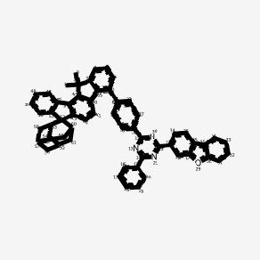 CC1(C)c2cccc(-c3ccc(-c4nc(-c5ccccc5)nc(-c5ccc6c(c5)oc5ccccc56)n4)cc3)c2-c2ccc3c(c21)-c1ccccc1C31C2CC3CC(C2)CC1C3